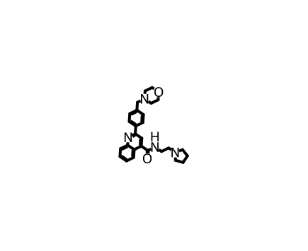 O=C(NCCN1CCCC1)c1cc(-c2ccc(CN3CCOCC3)cc2)nc2ccccc12